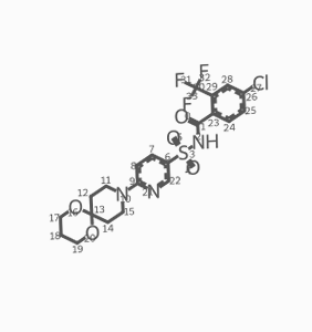 O=C(NS(=O)(=O)c1ccc(N2CCC3(CC2)OCCCO3)nc1)c1ccc(Cl)cc1C(F)(F)F